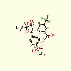 CC(=O)c1cc(C2=C(c3ccc(S(C)(=O)=O)cc3)OC(C)(C)C2=O)cc(C(F)(F)F)c1